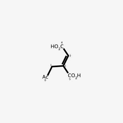 CC(=O)C/C(=C\C(=O)O)C(=O)O